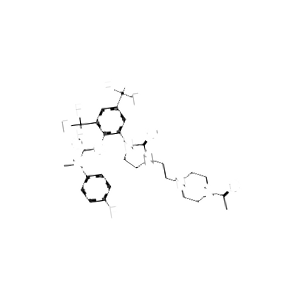 CC(=O)N1CCN(CCN2CCN(c3cc(C(F)(F)F)cc(C(F)(F)F)c3OC(=O)N(C)c3ccc(F)cc3)C2=O)CC1